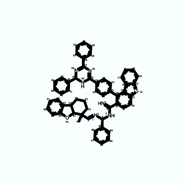 CC1(/C=N/C(NC(=N)c2ccc3sc4ccccc4c3c2-c2ccc(C3=NC(c4ccccc4)=NC(c4ccccc4)N3)cc2)c2ccccc2)CCCC2c3ccccc3OC21